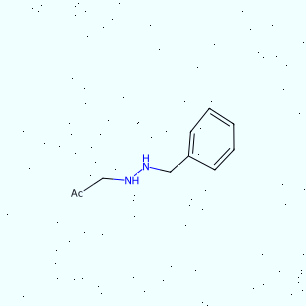 CC(=O)CNNCc1ccccc1